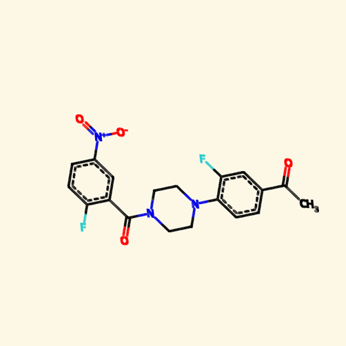 CC(=O)c1ccc(N2CCN(C(=O)c3cc([N+](=O)[O-])ccc3F)CC2)c(F)c1